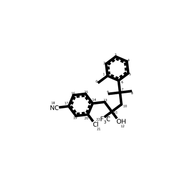 Cc1ccccc1C(C)(C)CC(O)(Cc1ccc(C#N)cc1Cl)C(F)(F)F